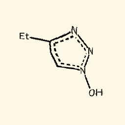 [CH2]Cc1cn(O)nn1